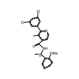 COc1ccccc1[C@@H](C)NC(=O)c1ccnc(-c2cc(Cl)cc(Cl)c2)c1C